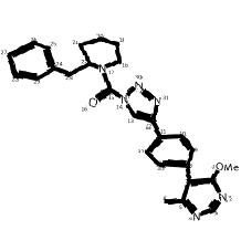 COc1ncnc(C)c1-c1ccc(-c2cn(C(=O)N3CCCCC3Cc3ccccc3)nn2)cc1